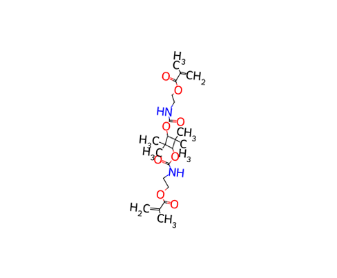 C=C(C)C(=O)OCCNC(=O)OC1C(C)(C)C(OC(=O)NCCOC(=O)C(=C)C)C1(C)C